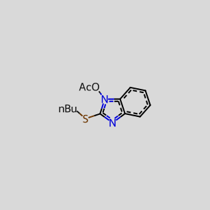 CCCCSc1nc2ccccc2n1OC(C)=O